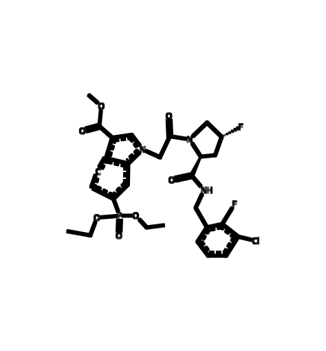 CCOP(=O)(OCC)c1ccc2c(C(=O)OC)cn(CC(=O)N3C[C@H](F)C[C@H]3C(=O)NCc3cccc(Cl)c3F)c2c1